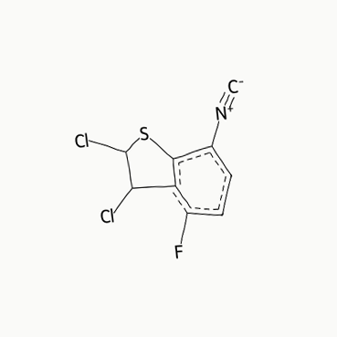 [C-]#[N+]c1ccc(F)c2c1SC(Cl)C2Cl